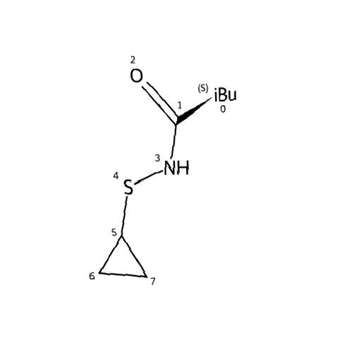 CC[C@H](C)C(=O)NSC1CC1